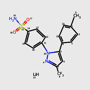 Cc1ccc(-c2cc(C(F)(F)F)nn2-c2ccc(S(N)(=O)=O)cc2)cc1.[LiH]